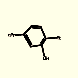 CCCc1ccc(CC)c(O)c1